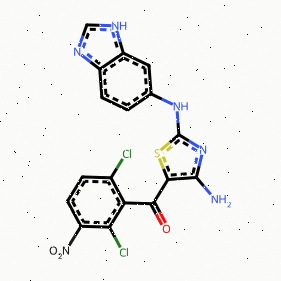 Nc1nc(Nc2ccc3nc[nH]c3c2)sc1C(=O)c1c(Cl)ccc([N+](=O)[O-])c1Cl